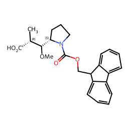 COC([C@@H](C)C(=O)O)[C@@H]1CCCN1C(=O)OCC1c2ccccc2-c2ccccc21